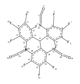 O=C=Nc1c(F)c(F)c(F)c(F)c1C(c1c(F)c(F)c(F)c(F)c1N=C=O)c1c(F)c(F)c(F)c(F)c1N=C=O